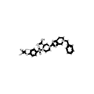 O=C(O)[C@H]1CN(c2nc3c(s2)CN(Cc2ccccc2)CC3)CCN1S(=O)(=O)c1ccc(OC(F)(F)F)cc1